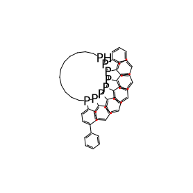 c1ccc(-c2ccc(P3CCCCCCCCCCCPP(c4ccccc4)P(c4ccccc4)P(c4ccccc4)P(c4ccccc4)P(c4ccccc4)P3c3ccccc3)cc2)cc1